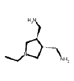 CCN1C[C@@H](CN)[C@H](CN)C1